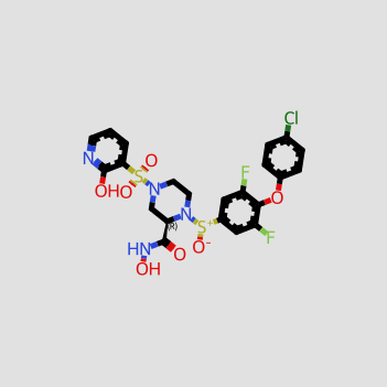 O=C(NO)[C@H]1CN(S(=O)(=O)c2cccnc2O)CCN1[S+]([O-])c1cc(F)c(Oc2ccc(Cl)cc2)c(F)c1